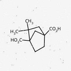 CC1(C)CC2(C(=O)O)CCC1(C(=O)O)C2